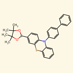 CC1(C)OB(c2ccc3c(c2)Sc2ccccc2N3c2ccc(-c3ccccc3)cc2)OC1(C)C